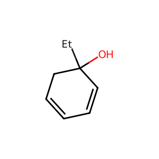 CCC1(O)C=CC=CC1